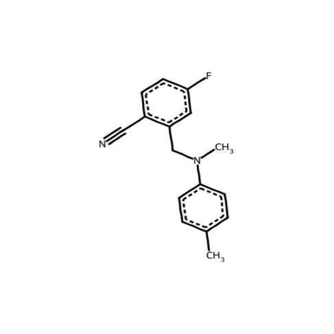 Cc1ccc(N(C)Cc2cc(F)ccc2C#N)cc1